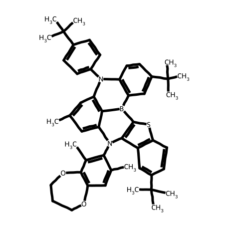 Cc1cc2c3c(c1)N(c1c(C)cc4c(c1C)OCCCO4)c1c(sc4ccc(C(C)(C)C)cc14)B3c1cc(C(C)(C)C)ccc1N2c1ccc(C(C)(C)C)cc1